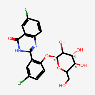 O=c1[nH]c(-c2cc(Cl)ccc2O[C@@H]2OC(CO)[C@H](O)[C@@H](O)C2O)nc2ccc(Cl)cc12